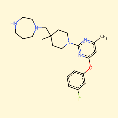 CC1(CN2CCCNCC2)CCN(c2nc(Oc3cccc(F)c3)cc(C(F)(F)F)n2)CC1